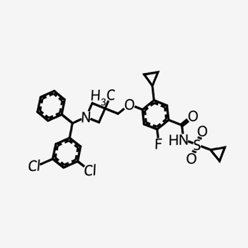 CC1(COc2cc(F)c(C(=O)NS(=O)(=O)C3CC3)cc2C2CC2)CN(C(c2ccccc2)c2cc(Cl)cc(Cl)c2)C1